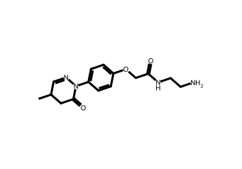 CC1C=NN(c2ccc(OCC(=O)NCCN)cc2)C(=O)C1